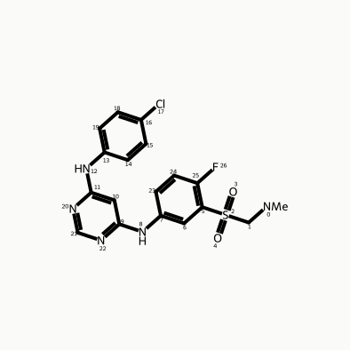 CNCS(=O)(=O)c1cc(Nc2cc(Nc3ccc(Cl)cc3)ncn2)ccc1F